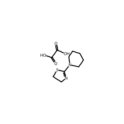 C1CCN(C2=NCCS2)CC1.O=C(O)C(=O)O